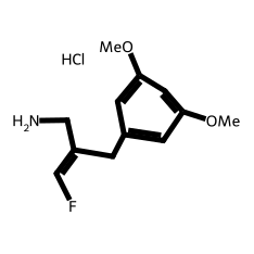 COc1cc(C/C(=C\F)CN)cc(OC)c1.Cl